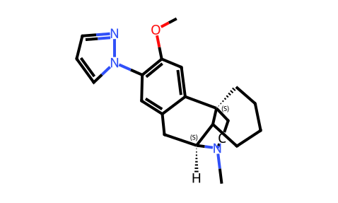 COc1cc2c(cc1-n1cccn1)C[C@H]1C3CCCC[C@@]23CCN1C